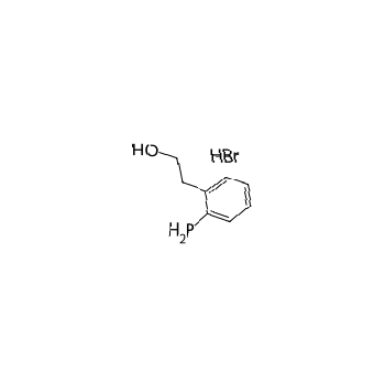 Br.OCCc1ccccc1P